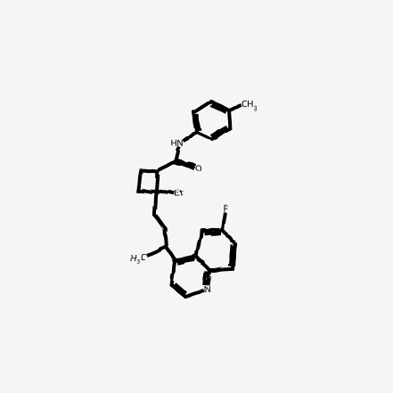 CCC1(CCC(C)c2ccnc3ccc(F)cc23)CCC1C(=O)Nc1ccc(C)cc1